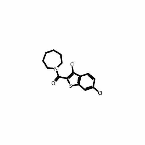 O=C(c1sc2cc(Cl)ccc2c1Cl)N1CCCCCC1